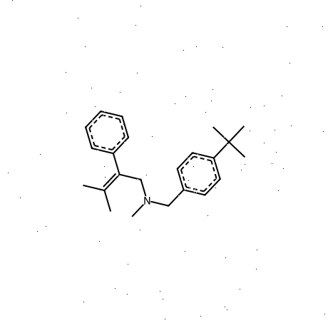 CC(C)=C(CN(C)Cc1ccc(C(C)(C)C)cc1)c1ccccc1